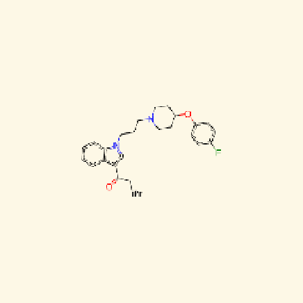 CC(C)CC(=O)c1cn(CCCN2CCC(Oc3ccc(F)cc3)CC2)c2ccccc12